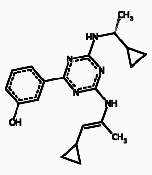 CC(=CC1CC1)Nc1nc(N[C@H](C)C2CC2)nc(-c2cccc(O)c2)n1